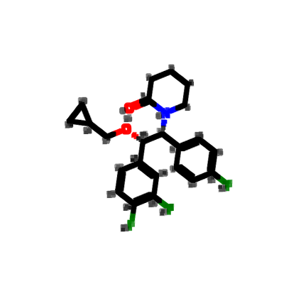 O=C1CCCCN1[C@H](c1ccc(F)cc1)[C@@H](OCC1CC1)c1ccc(F)c(F)c1